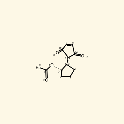 CCC(=O)O[C@H]1CCC[C@@H]1N1C(=O)C=CC1=O